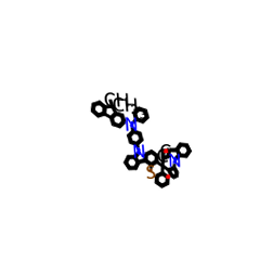 CC1(C)c2ccccc2-c2ccc(N(c3ccccc3)c3ccc(-n4c5ccccc5c5c6c(ccc54)C4(c5ccccc5S6)c5ccccc5-n5c6ccccc6c6cccc4c65)cc3)cc21